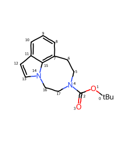 CC(C)(C)OC(=O)N1CCc2cccc3ccn(c23)CC1